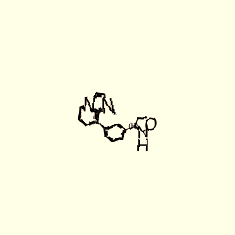 c1cc(-c2cccn3ccnc23)cc([C@H]2CCON2)c1